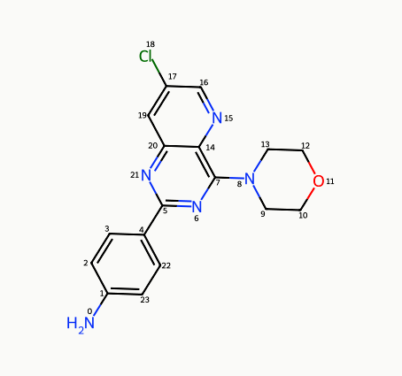 Nc1ccc(-c2nc(N3CCOCC3)c3ncc(Cl)cc3n2)cc1